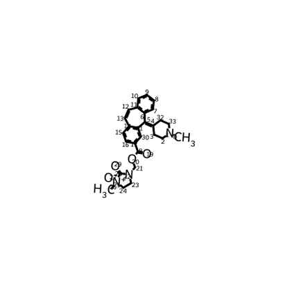 CN1CCC(=C2c3ccccc3C=Cc3ccc(C(=O)OCN4CC[N+](C)([O-])C4=O)cc32)CC1